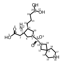 N[C@@]1(CC(=O)O)CN(S(=O)(=O)N2CC3(CCNCC3)C2)C[C@@H]1CCCB(O)O